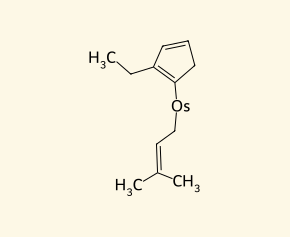 CCC1=[C]([Os][CH2]C=C(C)C)CC=C1